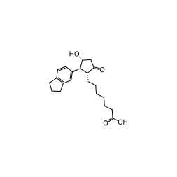 O=C(O)CCCCCC[C@H]1C(=O)C[C@@H](O)[C@@H]1c1ccc2c(c1)CCC2